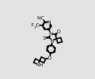 N#Cc1ncc(N2C(=O)C3(CCC3)N(c3ccc(OC4CC5(CCN5)C4)cc3)C2=S)cc1C(F)(F)F